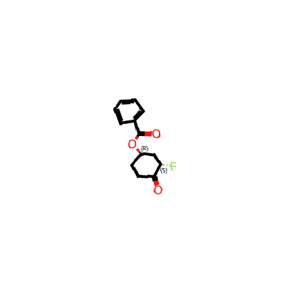 O=C(O[C@@H]1CCC(=O)[C@@H](F)C1)c1ccccc1